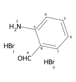 Br.Br.Nc1ccccc1C=O